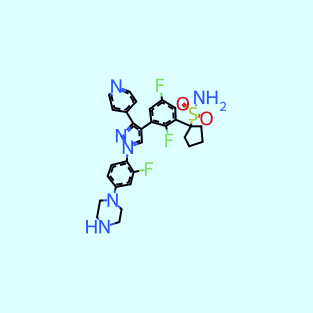 NS(=O)(=O)C1(c2cc(F)cc(-c3cn(-c4ccc(N5CCNCC5)cc4F)nc3-c3ccncc3)c2F)CCCC1